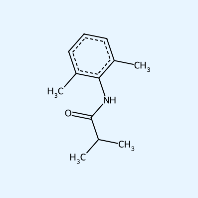 Cc1cccc(C)c1NC(=O)C(C)C